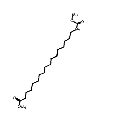 COC(=O)CCCCCCCCCCCCCCCCNC(=O)OC(C)(C)C